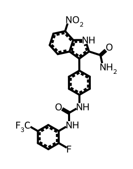 NC(=O)c1[nH]c2c([N+](=O)[O-])cccc2c1-c1ccc(NC(=O)Nc2cc(C(F)(F)F)ccc2F)cc1